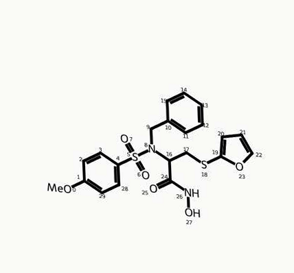 COc1ccc(S(=O)(=O)N(Cc2ccccc2)C(CSc2ccco2)C(=O)NO)cc1